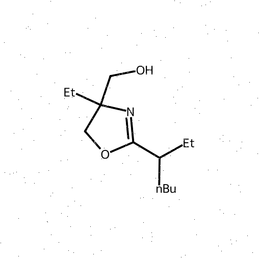 CCCCC(CC)C1=NC(CC)(CO)CO1